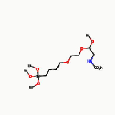 CCOC(CNC(=O)O)OCCOCCCC[Si](OCC)(OCC)OCC